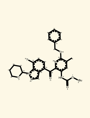 Cc1cc(NC(=O)OC(C)(C)C)c(C(=O)c2ccc(F)c3c2cnn3C2CCCCO2)nc1OCc1ccccc1